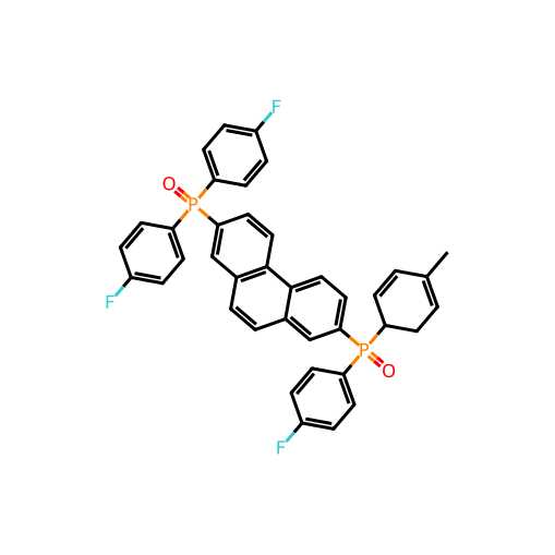 CC1=CCC(P(=O)(c2ccc(F)cc2)c2ccc3c(ccc4cc(P(=O)(c5ccc(F)cc5)c5ccc(F)cc5)ccc43)c2)C=C1